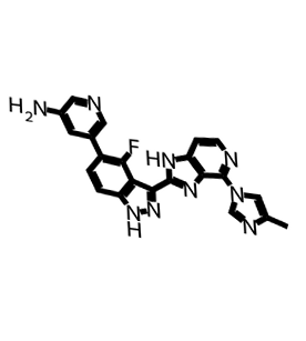 Cc1cn(-c2nccc3[nH]c(-c4n[nH]c5ccc(-c6cncc(N)c6)c(F)c45)nc23)cn1